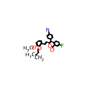 COc1cccc(C=Cc2oc(=O)c3cc(F)ccc3c2-c2ccc(C#N)cc2)c1OCCC(C)C